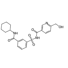 O=C(NC1CCCCC1)c1cccc(S(=O)(=O)NC(=O)c2ccc(CO)nc2)c1